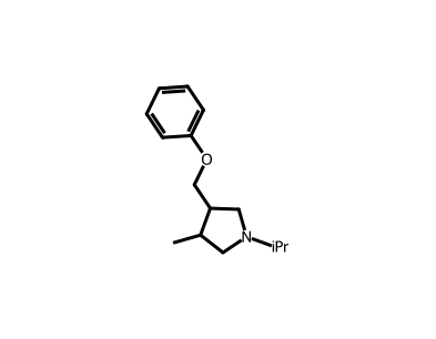 CC1CN(C(C)C)CC1COc1ccccc1